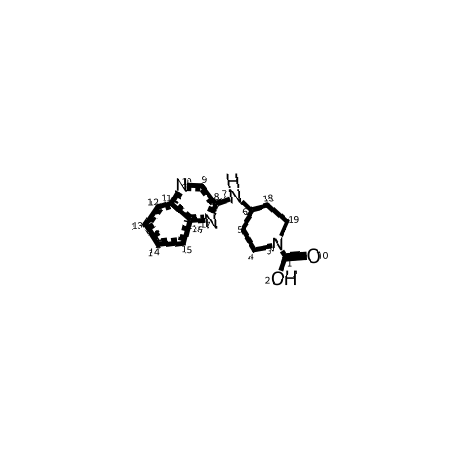 O=C(O)N1CCC(Nc2cnc3ccccc3n2)CC1